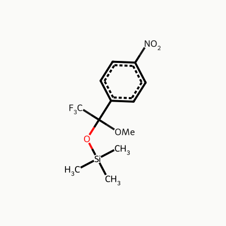 COC(O[Si](C)(C)C)(c1ccc([N+](=O)[O-])cc1)C(F)(F)F